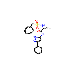 CC(NS(=O)(=O)Cc1ccccc1)C(=O)Nc1cc(-c2ccccc2)n[nH]1